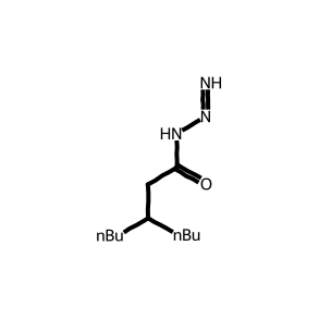 CCCCC(CCCC)CC(=O)NN=N